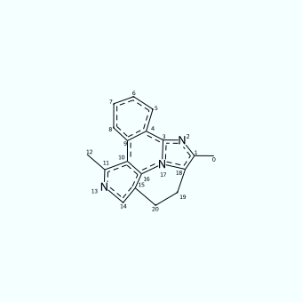 Cc1nc2c3ccccc3c3c(C)ncc4c3n2c1CC4